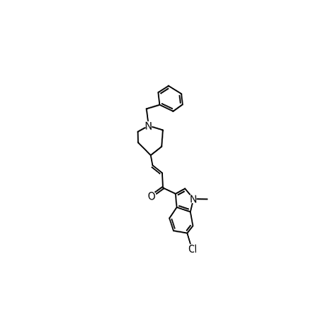 Cn1cc(C(=O)/C=C/C2CCN(Cc3ccccc3)CC2)c2ccc(Cl)cc21